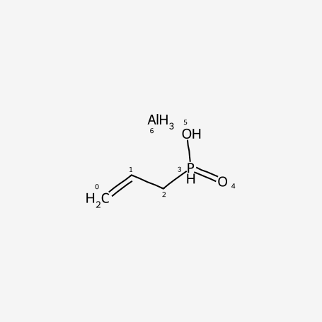 C=CC[PH](=O)O.[AlH3]